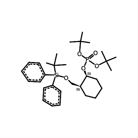 CC(C)(C)OP(=O)(O[C@H]1CCCC[C@H]1CO[Si](c1ccccc1)(c1ccccc1)C(C)(C)C)OC(C)(C)C